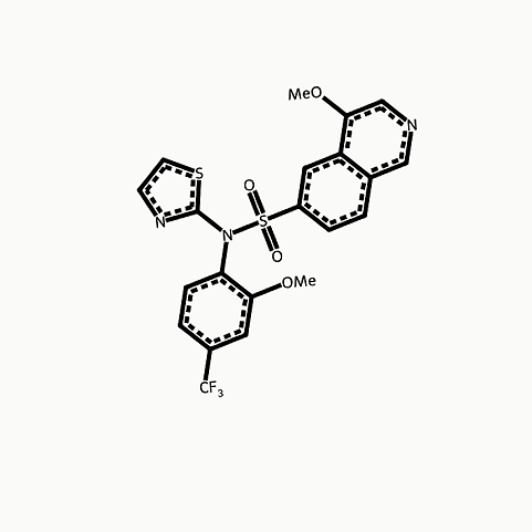 COc1cc(C(F)(F)F)ccc1N(c1nccs1)S(=O)(=O)c1ccc2cncc(OC)c2c1